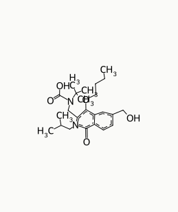 CCCCOc1c(CN(C(=O)O)C(C)(C)C)n(CC(C)C)c(=O)c2ccc(CO)cc12